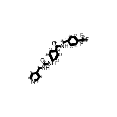 O=C(NCc1ccncc1)Nc1ccc(C(=O)NCc2ccc(C(F)(F)F)cc2)cc1